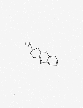 NC1CCc2nc3ccccc3cc2C1